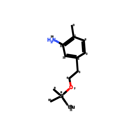 Cc1ccc(CCO[Si](C)(C)C(C)(C)C)cc1N